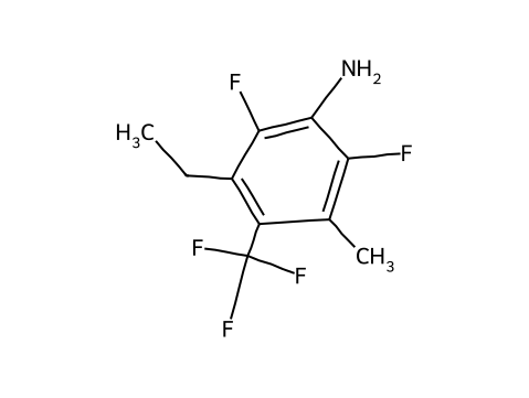 CCc1c(F)c(N)c(F)c(C)c1C(F)(F)F